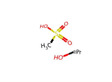 CCCO.CS(=O)(=O)O